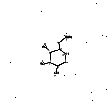 COCC1NCC(O)C(O)[C@@H]1O